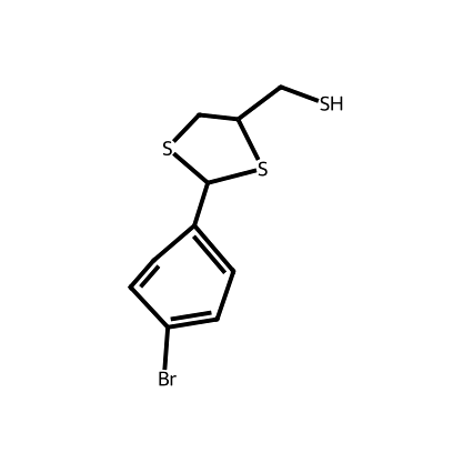 SCC1CSC(c2ccc(Br)cc2)S1